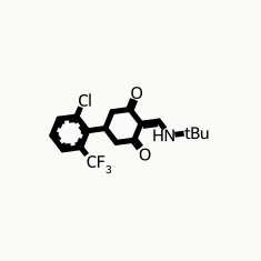 CC(C)(C)NC=C1C(=O)CC(c2c(Cl)cccc2C(F)(F)F)CC1=O